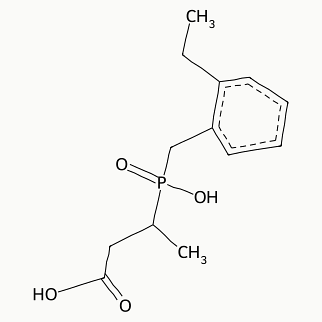 CCc1ccccc1CP(=O)(O)C(C)CC(=O)O